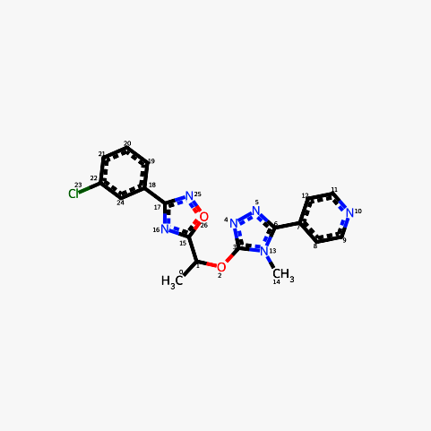 CC(Oc1nnc(-c2ccncc2)n1C)c1nc(-c2cccc(Cl)c2)no1